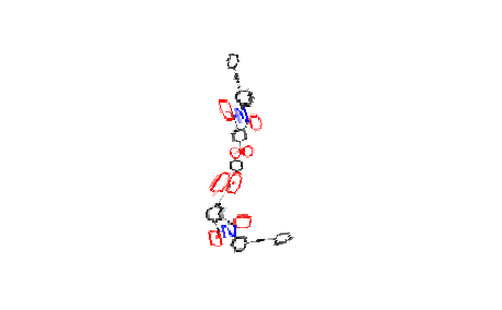 O=C(Oc1ccc(OC(=O)c2ccc3c(c2)C(=O)N(c2cccc(C#Cc4ccccc4)c2)C3=O)cc1)c1ccc2c(c1)C(=O)N(c1cccc(C#Cc3ccccc3)c1)C2=O